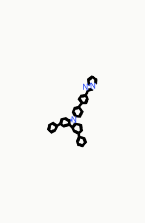 c1ccc(-c2ccc3c(c2)c2cc(-c4ccccc4)ccc2n3-c2ccc(-c3ccc(-c4cn5ccccc5n4)cc3)cc2)cc1